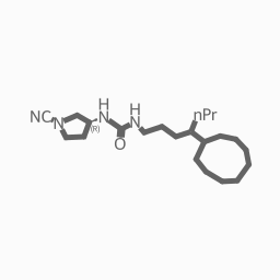 CCCC(CCCNC(=O)N[C@@H]1CCN(C#N)C1)C1CCCCCCCC1